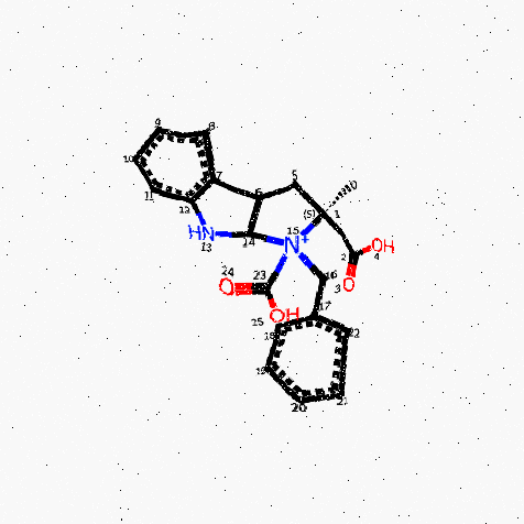 C[C@@]1(C(=O)O)CC2c3ccccc3NC2[N+]1(Cc1ccccc1)C(=O)O